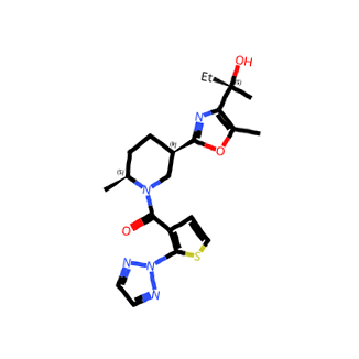 CC[C@](C)(O)c1nc([C@@H]2CC[C@H](C)N(C(=O)c3ccsc3-n3nccn3)C2)oc1C